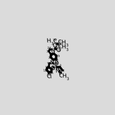 Cn1ccc(S(=O)(=O)N(Cc2ccc(Cl)cc2)c2ccc3c(c2)CCN3C(=O)OC(C)(C)C)n1